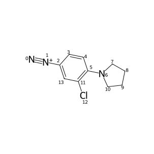 N#[N+]c1ccc(N2CCCC2)c(Cl)c1